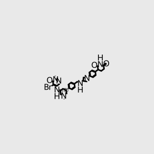 CN1C[C@H](Nc2cnn(C)c(=O)c2Br)C[C@H](c2ccc(CNC3CN(c4ccc(C5CCC(=O)NC5=O)cc4)C3)cc2)C1